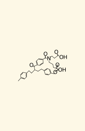 Cc1ccc(CCC(CCc2ccc(C)cc2)C(=O)c2ccc(C(=O)N(CCCS(=O)(=O)O)CCC(=O)O)cc2)cc1